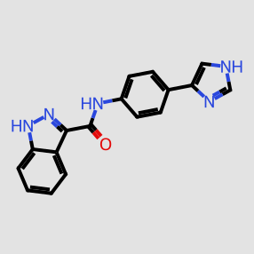 O=C(Nc1ccc(-c2c[nH]cn2)cc1)c1n[nH]c2ccccc12